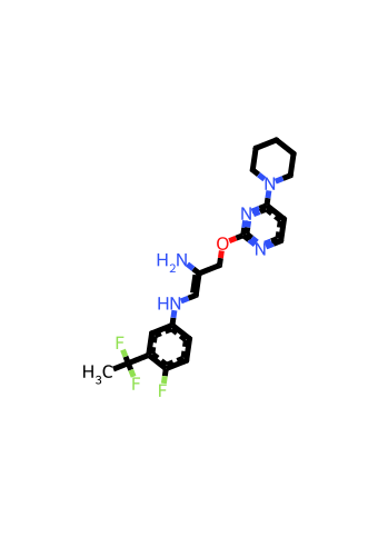 CC(F)(F)c1cc(N/C=C(\N)COc2nccc(N3CCCCC3)n2)ccc1F